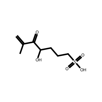 C=C(C)C(=O)C(O)CCCS(=O)(=O)O